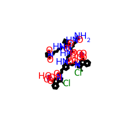 NC(=O)NCCC[C@H](NC(=O)C1(C(=O)NCCCCCN2C(=O)C=CC2=O)CCC1)C(=O)NCCC(=O)Nc1cc(/C=C/C(=O)N2C[C@@H](CCl)c3c2cc(OP(=O)(O)O)c2ccccc32)ccc1/C=C/C(=O)N1C[C@@H](CCl)c2c1cc(OP(=O)(O)O)c1ccccc21